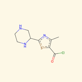 Cc1nc(C2CNCCN2)sc1C(=O)Cl